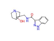 O=C(NCC1(O)CN2CCC1CC2)c1n[nH]c2ccccc12